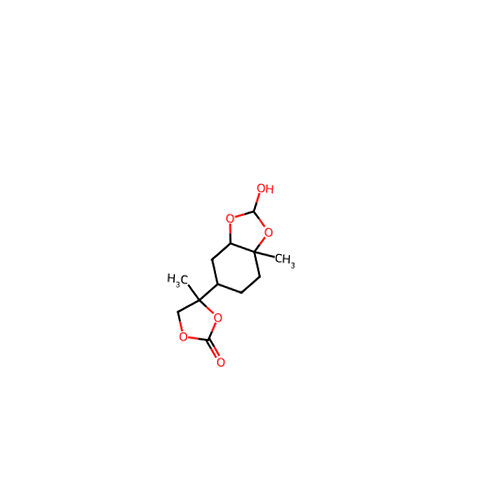 CC1(C2CCC3(C)OC(O)OC3C2)COC(=O)O1